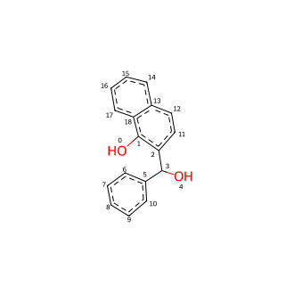 Oc1c(C(O)c2ccccc2)ccc2ccccc12